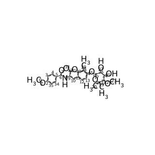 COc1ccc(C(=O)Nc2cc3ccc(OC4OC(C)(C)C(OC)C(O)C4O)c(C)c3oc2=O)cc1